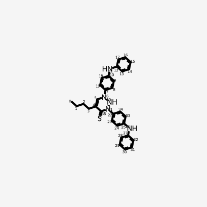 CCCCC1=CN(c2ccc(Nc3ccccc3)cc2)NN(c2ccc(Nc3ccccc3)cc2)C1=S